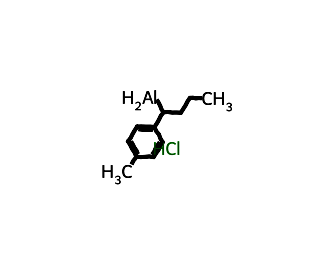 CCC[CH]([AlH2])c1ccc(C)cc1.Cl